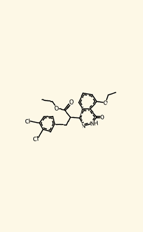 CCOC(=O)C(Cc1ccc(Cl)c(Cl)c1)c1n[nH]c(=O)c2c(OCC)cccc12